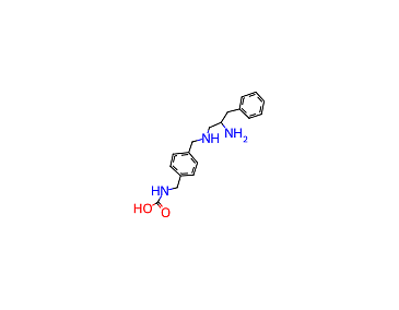 NC(CNCc1ccc(CNC(=O)O)cc1)Cc1ccccc1